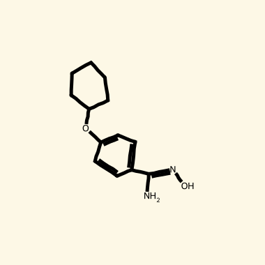 N/C(=N\O)c1ccc(OC2CCCCC2)cc1